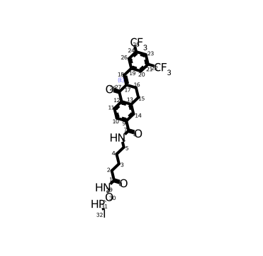 O=C(CCCCNC(=O)c1ccc2c(c1)CC/C(=C\c1cc(C(F)(F)F)cc(C(F)(F)F)c1)C2=O)NOPI